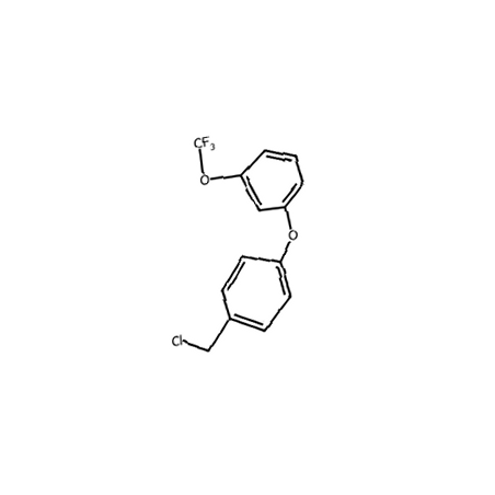 FC(F)(F)Oc1cccc(Oc2ccc(CCl)cc2)c1